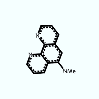 CNc1cc2cccnc2c2ncccc12